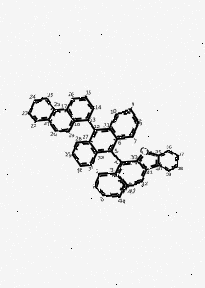 c1ccc2c(-c3c4ccccc4c(-c4cccc5c4ccc4ccccc45)c4ccccc34)c3oc4ccccc4c3cc2c1